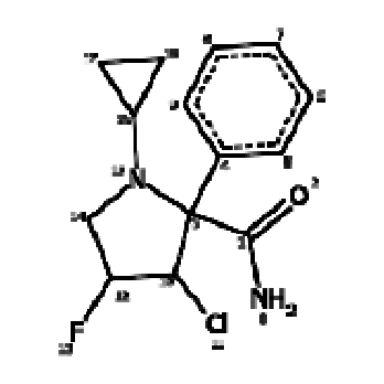 NC(=O)C1(c2ccccc2)C(Cl)C(F)CN1C1CC1